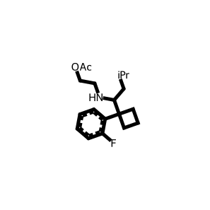 CC(=O)OCCNC(CC(C)C)C1(c2ccccc2F)CCC1